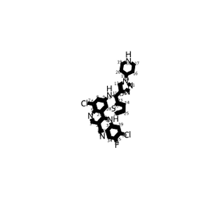 N#Cc1cnc2c(Cl)cc(N[C@H](c3cn(C4CCNCC4)nn3)c3cccs3)cc2c1Nc1ccc(F)c(Cl)c1